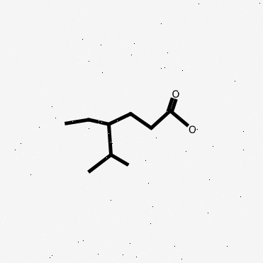 CCC(CCC([O])=O)C(C)C